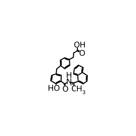 C[C@@H](NC(=O)c1cc(Cc2ccc(CCC(=O)O)cc2)ccc1O)c1cccc2ccccc12